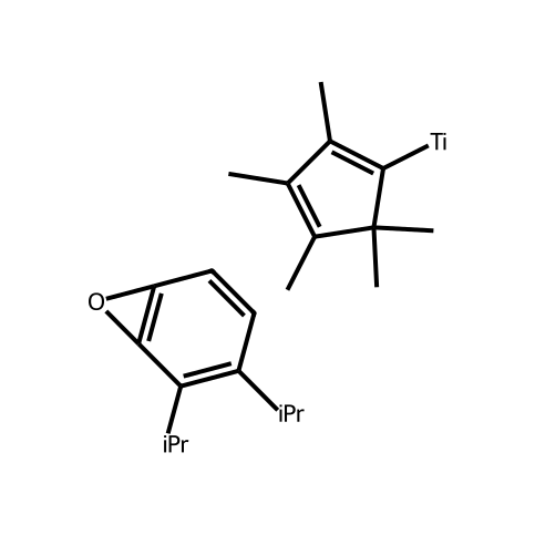 CC(C)c1ccc2c(c1C(C)C)O2.CC1=C(C)C(C)(C)[C]([Ti])=C1C